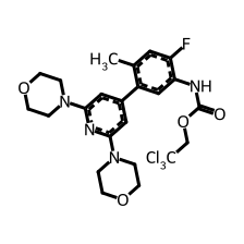 Cc1cc(F)c(NC(=O)OCC(Cl)(Cl)Cl)cc1-c1cc(N2CCOCC2)nc(N2CCOCC2)c1